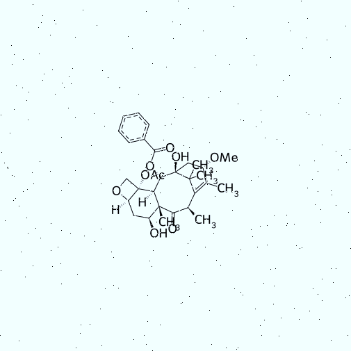 CO[C@H]1C[C@@]2(O)[C@@H](OC(=O)c3ccccc3)[C@@H]3[C@]4(OC(C)=O)CO[C@@H]4C[C@H](O)[C@@]3(C)C(=O)[C@H](C)C(=C1C)C2(C)C